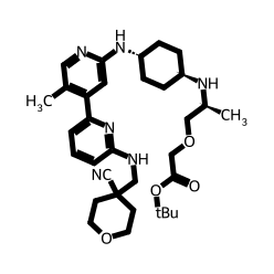 Cc1cnc(N[C@H]2CC[C@H](N[C@@H](C)COCC(=O)OC(C)(C)C)CC2)cc1-c1cccc(NCC2(C#N)CCOCC2)n1